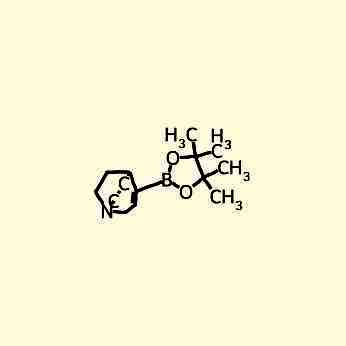 CC1(C)OB(C2=CCN3CCC2CC3)OC1(C)C